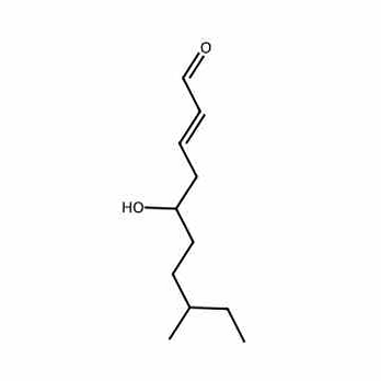 CCC(C)CCC(O)C/C=C/C=O